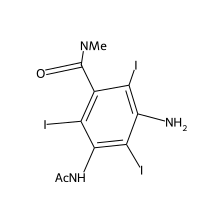 CNC(=O)c1c(I)c(N)c(I)c(NC(C)=O)c1I